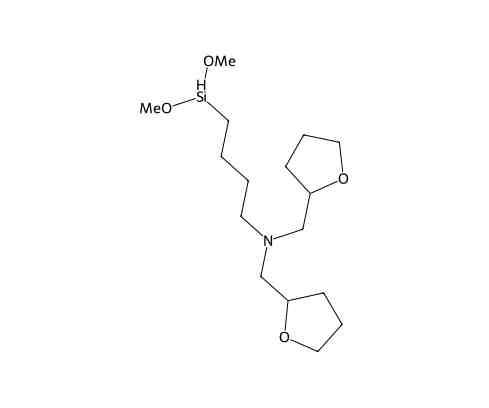 CO[SiH](CCCCN(CC1CCCO1)CC1CCCO1)OC